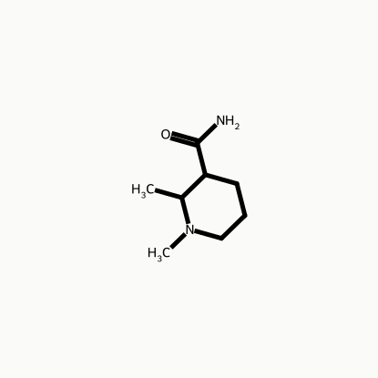 CC1C(C(N)=O)CCCN1C